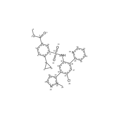 COC(=O)c1ccc(C2CC2)c(S(=O)(=O)Nc2cc(-c3ccnn3C)c(Cl)cc2-c2ccccn2)c1